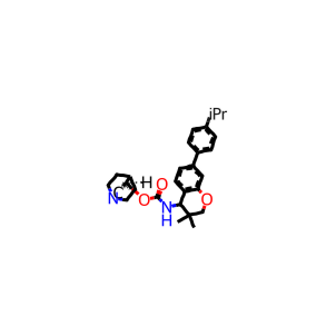 CC(C)c1ccc(-c2ccc3c(c2)OCC(C)(C)C3NC(=O)O[C@H]2CN3CCC2CC3)cc1